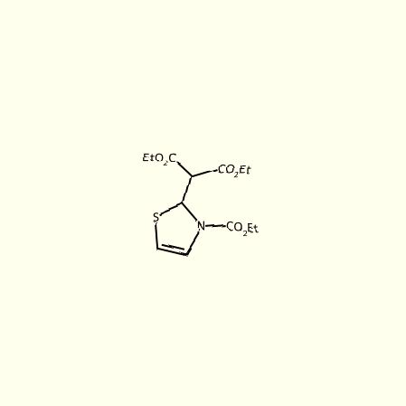 CCOC(=O)C(C(=O)OCC)C1SC=CN1C(=O)OCC